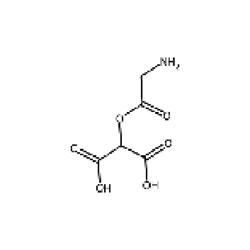 NCC(=O)OC(C(=O)O)C(=O)O